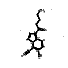 CCCCC(=O)c1cnn2c(C#N)c(O)ccc12